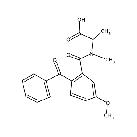 COc1ccc(C(=O)c2ccccc2)c(C(=O)N(C)C(C)C(=O)O)c1